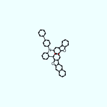 c1ccc(-c2ccc(N(c3ccc4oc5ccccc5c4c3)c3ccccc3-c3cccc4c3oc3cc5ccccc5cc34)cc2)cc1